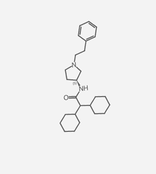 O=C(N[C@H]1CCN(CCc2ccccc2)C1)C(C1CCCCC1)C1CCCCC1